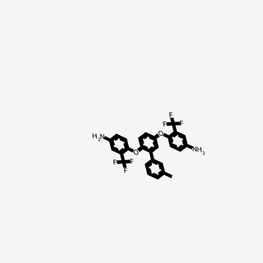 Cc1cccc(-c2cc(Oc3ccc(N)cc3C(F)(F)F)ccc2Oc2ccc(N)cc2C(F)(F)F)c1